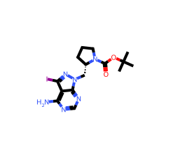 CC(C)(C)OC(=O)N1CCC[C@H]1Cn1nc(I)c2c(N)ncnc21